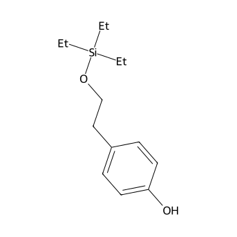 CC[Si](CC)(CC)OCCc1ccc(O)cc1